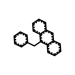 c1ccc(Cc2c3ccccc3cc3ccccc23)cc1